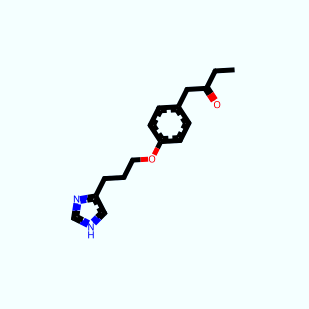 CCC(=O)Cc1ccc(OCCCc2c[nH]cn2)cc1